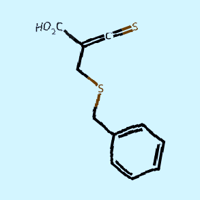 O=C(O)C(=C=S)CSCc1ccccc1